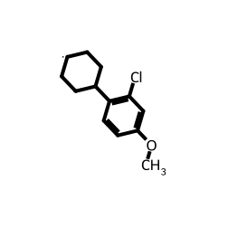 COc1ccc(C2CC[CH]CC2)c(Cl)c1